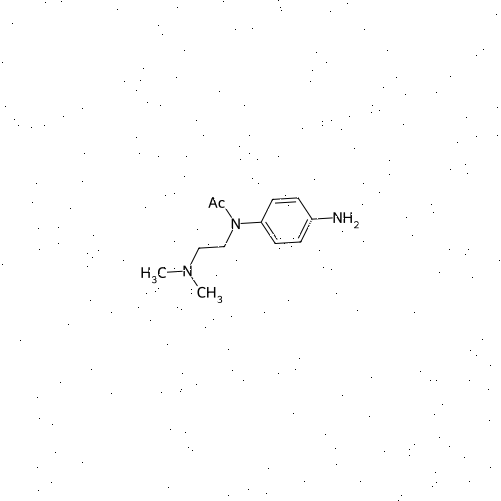 CC(=O)N(CCN(C)C)c1ccc(N)cc1